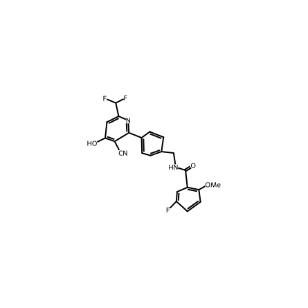 COc1ccc(F)cc1C(=O)NCc1ccc(-c2nc(C(F)F)cc(O)c2C#N)cc1